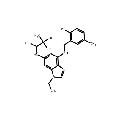 CCn1cnc2c(NCc3cc(C)ccc3O)nc(NC(C)C(C)(C)O)nc21